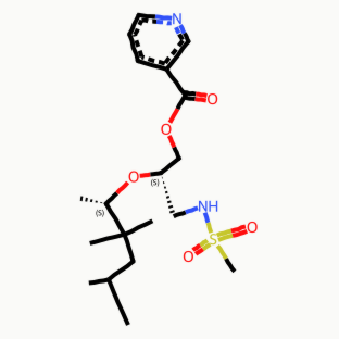 CC(C)CC(C)(C)[C@H](C)O[C@@H](CNS(C)(=O)=O)COC(=O)c1cccnc1